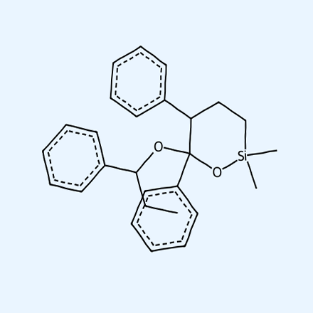 CCC(OC1(c2ccccc2)O[Si](C)(C)CCC1c1ccccc1)c1ccccc1